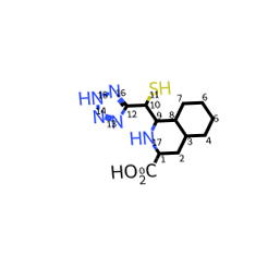 O=C(O)C1CC2CCCCC2C(C(S)c2nn[nH]n2)N1